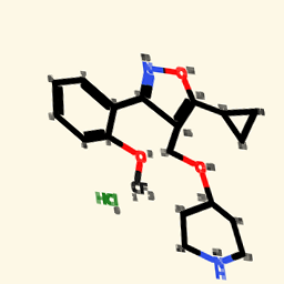 Cl.FC(F)(F)Oc1ccccc1-c1noc(C2CC2)c1COC1CCNCC1